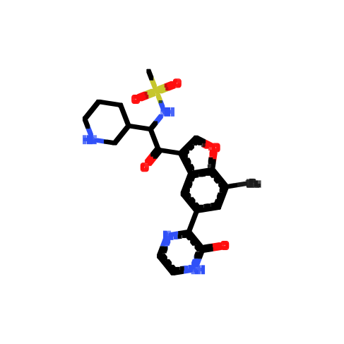 CC(C)(C)c1cc(-c2ncc[nH]c2=O)cc2c(C(=O)C(NS(C)(=O)=O)C3CCCNC3)coc12